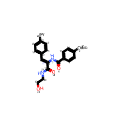 CC(C)COc1ccc(C(=O)N/C(=C\c2ccc(C(C)C)cc2)C(=O)NCCO)cc1